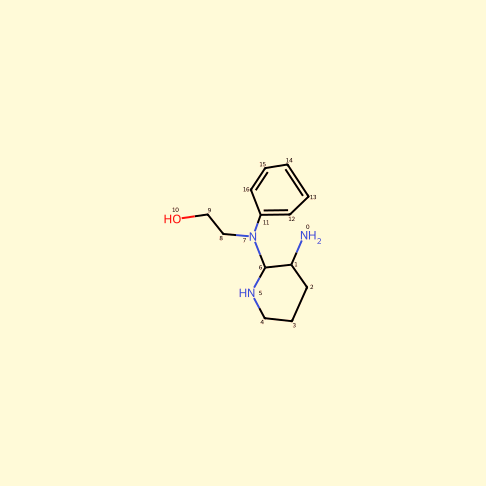 NC1CCCNC1N(CCO)c1ccccc1